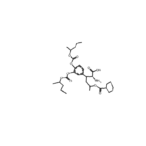 CCCC(C)OC(=O)Oc1ccc(C(CC(C)OC(=O)C2CCCCC2)[C@H](N)C(=O)O)cc1OC(=O)OC(C)CCC